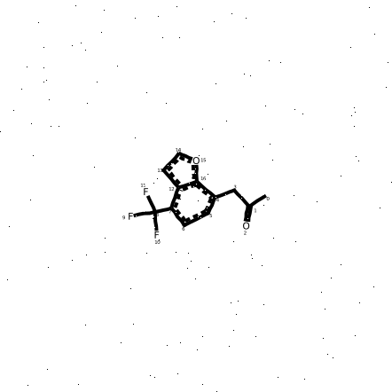 CC(=O)Cc1ccc(C(F)(F)F)c2ccoc12